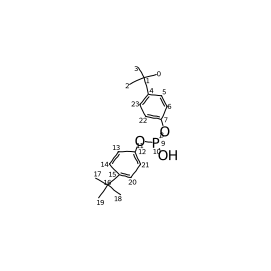 CC(C)(C)c1ccc(OP(O)Oc2ccc(C(C)(C)C)cc2)cc1